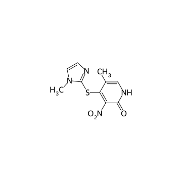 Cc1c[nH]c(=O)c([N+](=O)[O-])c1Sc1nccn1C